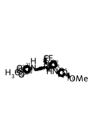 COCCN1CCC(Nc2cccc3c2cc(C#CCNc2ccc(S(C)(=O)=O)cc2)n3CC(F)(F)F)CC1